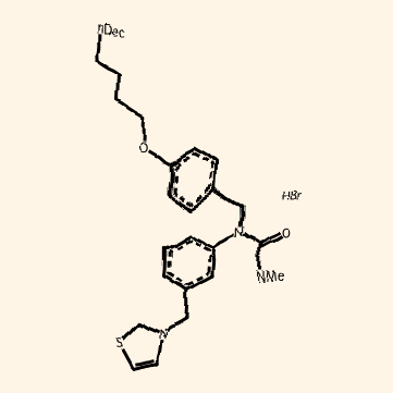 Br.CCCCCCCCCCCCCCOc1ccc(CN(C(=O)NC)c2cccc(CN3C=CSC3)c2)cc1